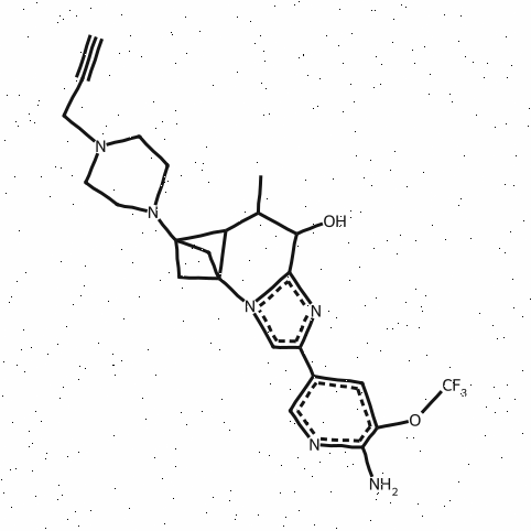 C#CCN1CCN(C23CC4(C2)C3C(C)C(O)c2nc(-c3cnc(N)c(OC(F)(F)F)c3)cn24)CC1